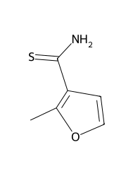 Cc1occc1C(N)=S